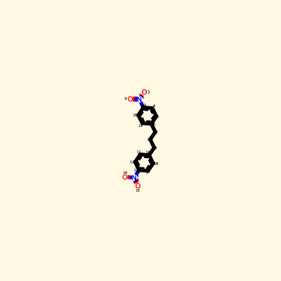 O=[N+]([O-])c1ccc(C[C]Cc2ccc([N+](=O)[O-])cc2)cc1